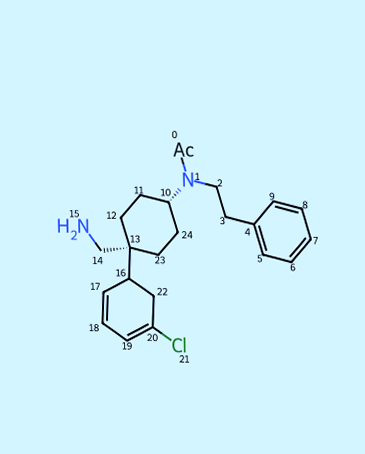 CC(=O)N(CCc1ccccc1)[C@H]1CC[C@](CN)(C2C=CC=C(Cl)C2)CC1